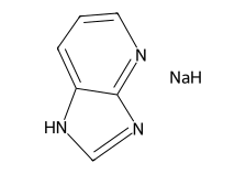 [NaH].c1cnc2nc[nH]c2c1